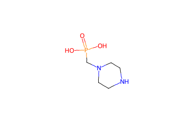 O=P(O)(O)CN1CCNCC1